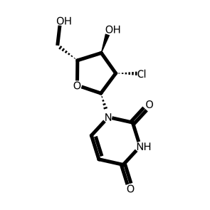 O=c1ccn([C@@H]2O[C@H](CO)[C@@H](O)[C@@H]2Cl)c(=O)[nH]1